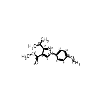 COC(=O)c1cn(-c2ccc(OC)cc2)nc1C(C)C